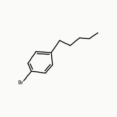 CCCCCc1ccc(Br)cc1